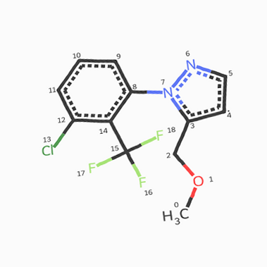 COCc1[c]cnn1-c1cccc(Cl)c1C(F)(F)F